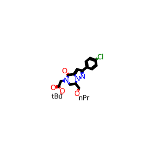 CCCOCC1CN(CC(=O)OC(C)(C)C)C(=O)c2cc(-c3ccc(Cl)cc3)nn21